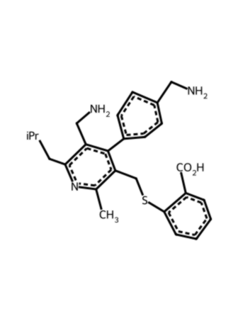 Cc1nc(CC(C)C)c(CN)c(-c2ccc(CN)cc2)c1CSc1ccccc1C(=O)O